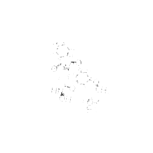 C1CC2CC1O2.COc1ccc(C(CC(=O)NO)N2C(=O)c3ccccc3C2=O)cc1